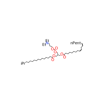 CCCCC/C=C\C/C=C\CCCCCCCC(=O)OCC(COC(=O)CCCCCCCCCCCCCC(C)C)COC(=O)OCCCN(CC)CC